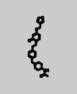 CC(=O)NC1CCN(Cc2ccc(CCn3ccc(OCc4ccoc4)cc3=O)cc2)CC1